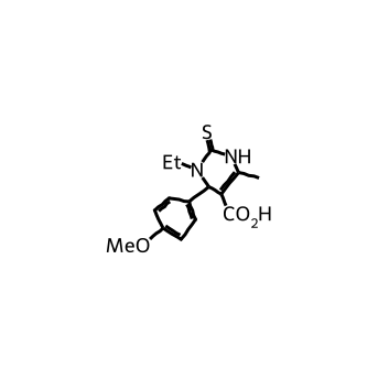 CCN1C(=S)NC(C)=C(C(=O)O)C1c1ccc(OC)cc1